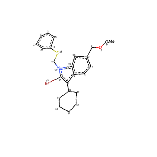 COOCc1ccc2c(C3CCCCC3)c(Br)n(CSc3ccccc3)c2c1